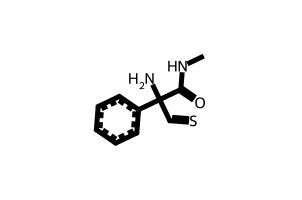 CNC(=O)C(N)(C=S)c1ccccc1